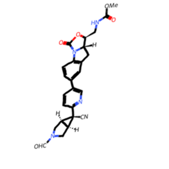 COC(=O)NC[C@@H]1OC(=O)N2c3ccc(-c4ccc([C@@]5(C#N)[C@@H]6CN(C=O)C[C@@H]65)nc4)cc3C[C@@H]12